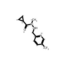 CN(NCc1ccc(C(F)(F)F)cn1)C(=O)C1CC1